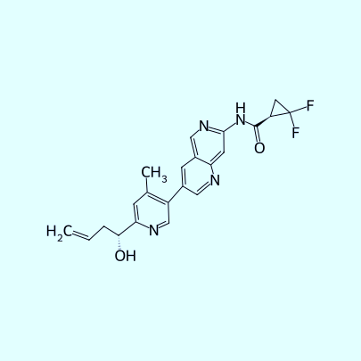 C=CC[C@@H](O)c1cc(C)c(-c2cnc3cc(NC(=O)[C@H]4CC4(F)F)ncc3c2)cn1